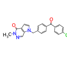 Cn1ncc2c(ccn2Cc2ccc(C(=O)c3ccc(Cl)cc3)cc2)c1=O